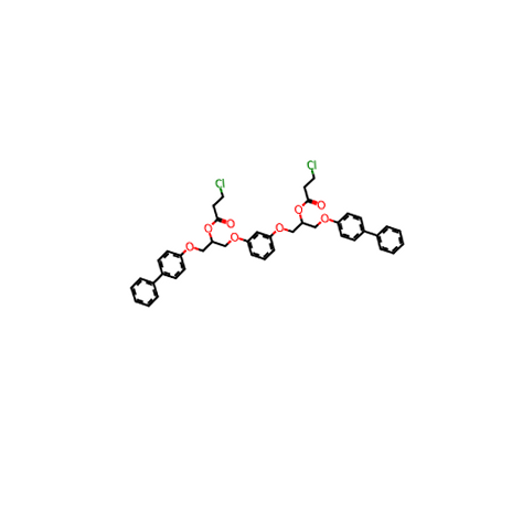 O=C(CCCl)OC(COc1ccc(-c2ccccc2)cc1)COc1cccc(OCC(COc2ccc(-c3ccccc3)cc2)OC(=O)CCCl)c1